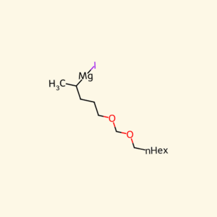 CCCCCCCOCOCCC[CH](C)[Mg][I]